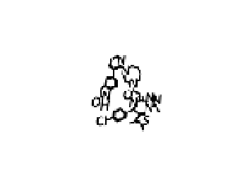 Cc1sc2c(c1C)C(c1ccc(Cl)cc1)=N[C@@H](CC(=O)N1CCCCN(c3ncccc3-c3ccc4c(c3)CC(=O)N4)CC1)c1nnc(C)n1-2